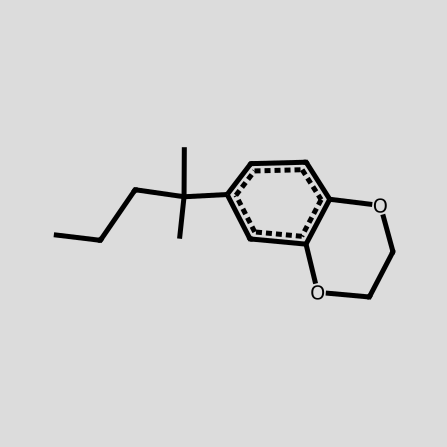 CCCC(C)(C)c1ccc2c(c1)OCCO2